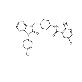 CC(=O)c1ccc(-n2c(=O)n(C[C@H]3CC[C@H](NC(=O)c4cc(Cl)cnc4C)CC3)c3ccccc32)cc1